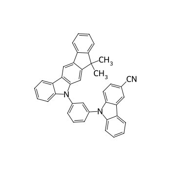 CC1(C)c2ccccc2-c2cc3c4ccccc4n(-c4cccc(-n5c6ccccc6c6cc(C#N)ccc65)c4)c3cc21